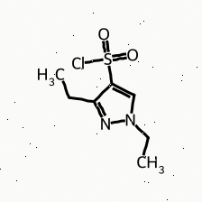 CCc1nn(CC)cc1S(=O)(=O)Cl